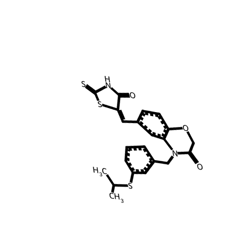 CC(C)Sc1cccc(CN2C(=O)COc3ccc(/C=C4/SC(=S)NC4=O)cc32)c1